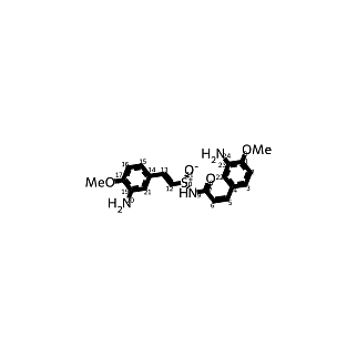 COc1ccc(/C=C\C(=O)N[S+]([O-])/C=C/c2ccc(OC)c(N)c2)cc1N